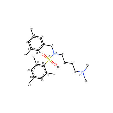 Cc1cc(C)cc(CN(CCCCN(C)C)S(=O)(=O)c2c(C)cc(C)cc2C)c1